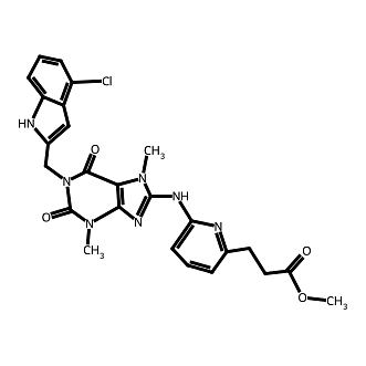 COC(=O)CCc1cccc(Nc2nc3c(c(=O)n(Cc4cc5c(Cl)cccc5[nH]4)c(=O)n3C)n2C)n1